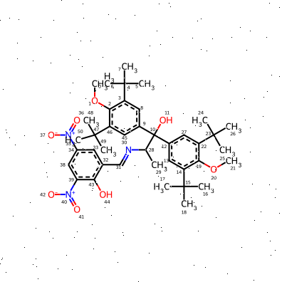 COc1c(C(C)(C)C)cc(C(O)(c2cc(C(C)(C)C)c(OC)c(C(C)(C)C)c2)C(C)N=Cc2cc([N+](=O)[O-])cc([N+](=O)[O-])c2O)cc1C(C)(C)C